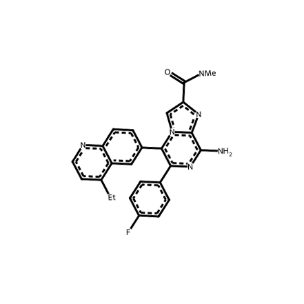 CCc1ccnc2ccc(-c3c(-c4ccc(F)cc4)nc(N)c4nc(C(=O)NC)cn34)cc12